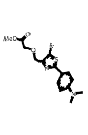 COC(=O)COCc1nc(-c2ccc(N(C)C)cc2)sc1Br